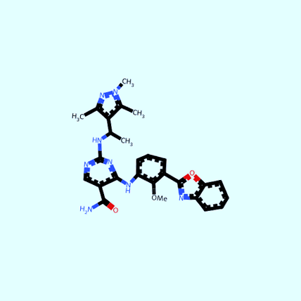 COc1c(Nc2nc(NC(C)c3c(C)nn(C)c3C)ncc2C(N)=O)cccc1-c1nc2ccccc2o1